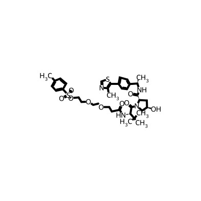 Cc1ccc(S(=O)(=O)OCCOCCOCCC(=O)N[C@H](C(=O)N2C[C@H](O)C[C@H]2C(=O)N[C@@H](C)c2ccc(-c3scnc3C)cc2)C(C)(C)C)cc1